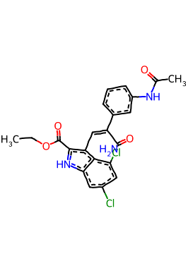 CCOC(=O)c1[nH]c2cc(Cl)cc(Cl)c2c1C=C(C(N)=O)c1cccc(NC(C)=O)c1